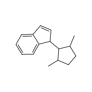 CC1CCC(C)C1C1C=Cc2ccccc21